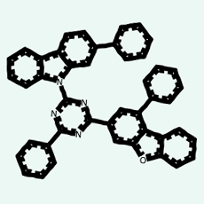 c1ccc(-c2ccc3c4ccccc4n(-c4nc(-c5ccccc5)nc(-c5cc(-c6ccccc6)c6c(c5)oc5ccccc56)n4)c3c2)cc1